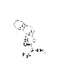 C=C(C)C(=O)OC1CC2CC1(CC)C1C3CCC(C3)C21